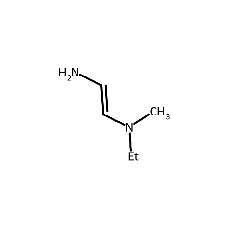 CCN(C)C=CN